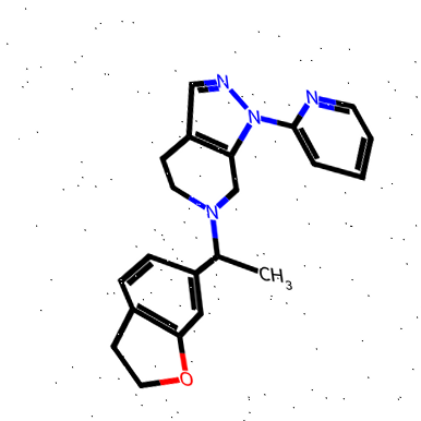 CC(c1ccc2c(c1)OCC2)N1CCc2cnn(-c3ccccn3)c2C1